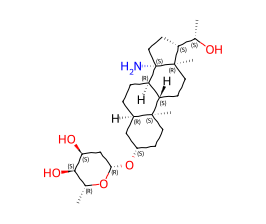 C[C@H](O)[C@H]1CC[C@]2(N)[C@@H]3CC[C@@H]4C[C@@H](O[C@H]5C[C@H](O)[C@H](O)[C@@H](C)O5)CC[C@]4(C)[C@H]3CC[C@]12C